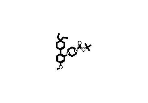 CCC1(CC)CC=C(c2ccc(OC)cc2N2CCN(C(=O)OC(C)(C)C)CC2)CC1